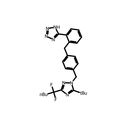 CCCCC(F)(F)c1nc(C(C)(C)C)n(Cc2ccc(Cc3ccccc3-c3nnn[nH]3)cc2)n1